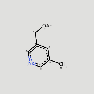 [CH2]c1cncc(COC(C)=O)c1